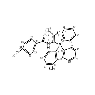 O=C(NC(=C(Cl)Cl)[P+](c1ccccc1)(c1ccccc1)c1ccccc1)c1ccc(F)cc1.[Cl-]